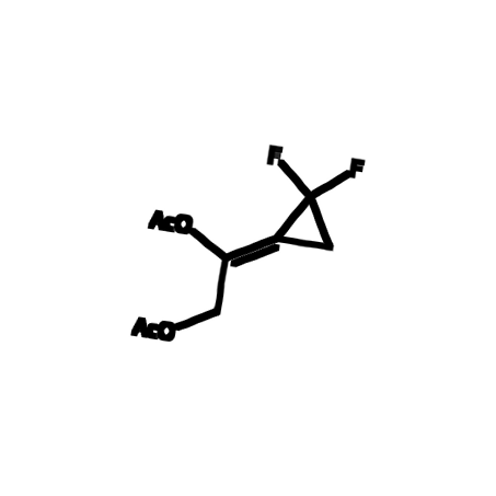 CC(=O)OCC(OC(C)=O)=C1CC1(F)F